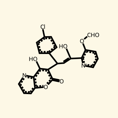 O=COc1cccnc1/C(O)=C/C(c1ccc(Cl)cc1)c1c(O)c2ncccc2oc1=O